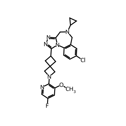 COc1cc(F)cnc1N1CC2(CC(c3nnc4n3-c3ccc(Cl)cc3CN(C3CC3)C4)C2)C1